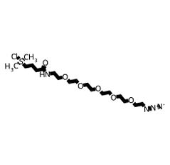 CS(C)(Cl)CCCC(=O)NCCOCCOCCOCCOCCOCCN=[N+]=[N-]